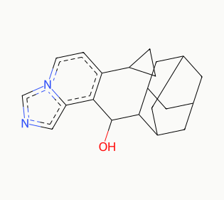 OC(c1c(C2CC2)ccn2cncc12)C1C2CC3CC(C2)CC1C3